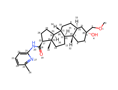 COC[C@@]1(O)CC[C@H]2[C@@H](CC[C@@H]3[C@@H]2CC[C@]2(C)[C@@H](C(=O)Nc4cccc(C)n4)CC[C@@H]32)C1